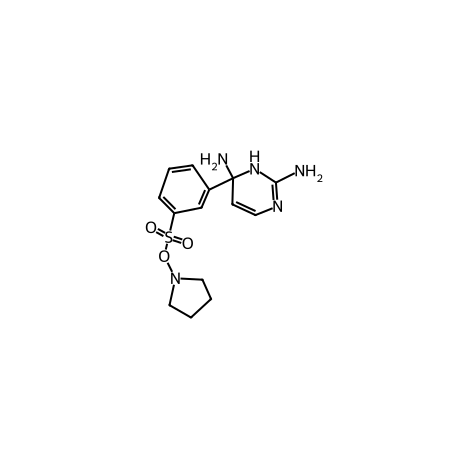 NC1=NC=CC(N)(c2cccc(S(=O)(=O)ON3CCCC3)c2)N1